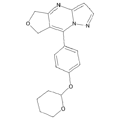 c1cc2nc3c(c(-c4ccc(OC5CCCCO5)cc4)n2n1)COC3